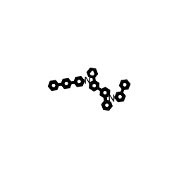 C1=CC2c3cc(-c4ccc5c(c4)c4ccccc4n5-c4cccc(-c5ccccc5)c4)ccc3N(c3ccc(-c4ccc(-c5ccccc5)cc4)cc3)C2C=C1